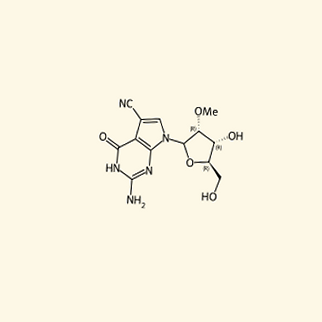 CO[C@H]1C(n2cc(C#N)c3c(=O)[nH]c(N)nc32)O[C@H](CO)[C@H]1O